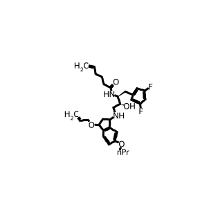 C=CCCCC(=O)N[C@@H](Cc1cc(F)cc(F)c1)[C@H](O)CNC1CC(OCC=C)c2ccc(OCCC)cc21